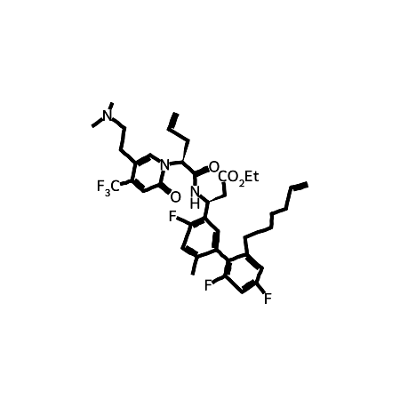 C=CCCCCc1cc(F)cc(F)c1-c1cc([C@H](CC(=O)OCC)NC(=O)[C@H](CC=C)n2cc(CCN(C)C)c(C(F)(F)F)cc2=O)c(F)cc1C